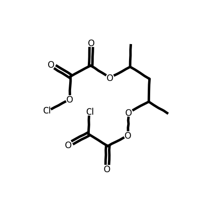 CC(CC(C)OC(=O)C(=O)OCl)OOC(=O)C(=O)Cl